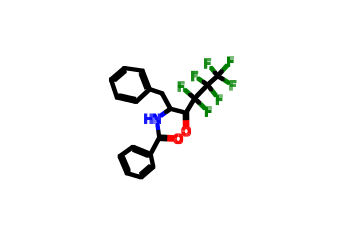 O=C(NC(Cc1ccccc1)C(=O)C(F)(F)C(F)(F)C(F)(F)F)c1ccccc1